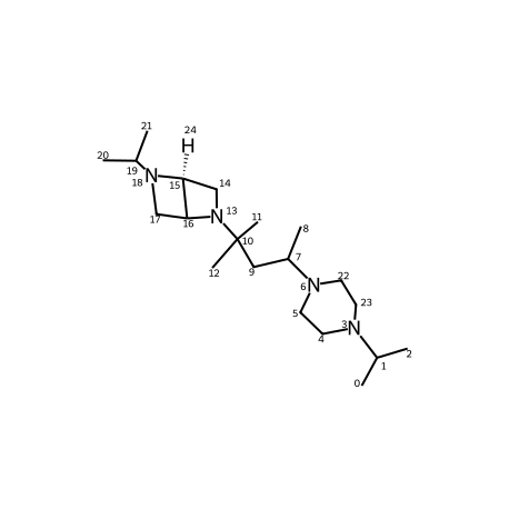 CC(C)N1CCN(C(C)CC(C)(C)N2C[C@H]3C2CN3C(C)C)CC1